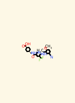 COc1ccc(C#N)cc1C(C)Nc1ncc(C(=O)NC[C@H]2CC[C@H](C(=O)O)CC2)cc1C(F)F